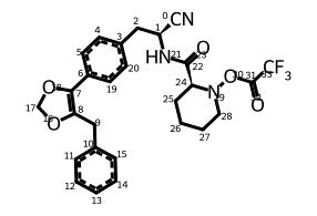 N#C[C@H](Cc1ccc(C2=C(Cc3ccccc3)OCO2)cc1)NC(=O)[C@@H]1CCCCN1OC(=O)C(F)(F)F